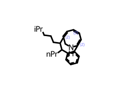 CCCC1c2ccccc2/C2=C/C=C\C=C(/CN2)C1CCCC(C)C